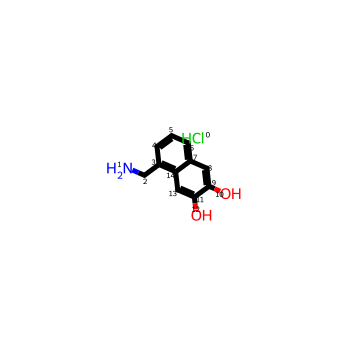 Cl.NCc1cccc2cc(O)c(O)cc12